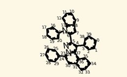 c1ccc(-c2c(-c3cc4ccccc4n3-c3ccccc3)nn3c(-c4ccccc4)cc4ccccc4c23)cc1